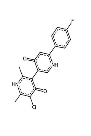 Cc1[nH]c(C)c(-c2c[nH]c(-c3ccc(F)cc3)cc2=O)c(=O)c1Cl